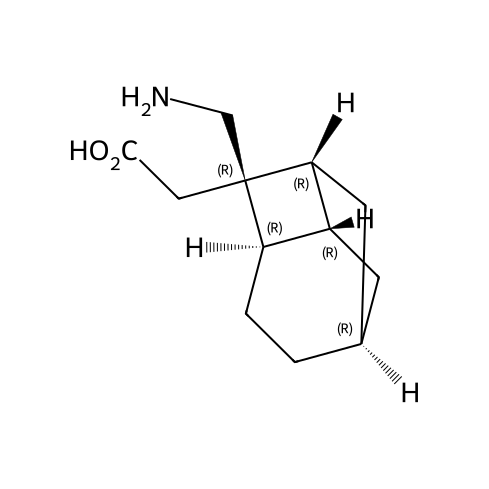 NC[C@]1(CC(=O)O)[C@@H]2CC[C@@H]3C[C@H]2[C@H]1C3